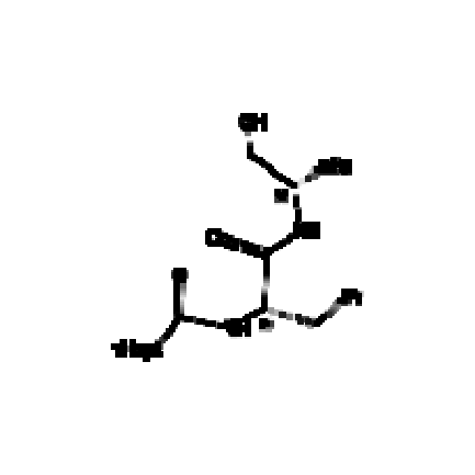 CCCCCCCC(=O)N[C@@H](CC(C)C)C(=O)N[C@H](CO)CCCC